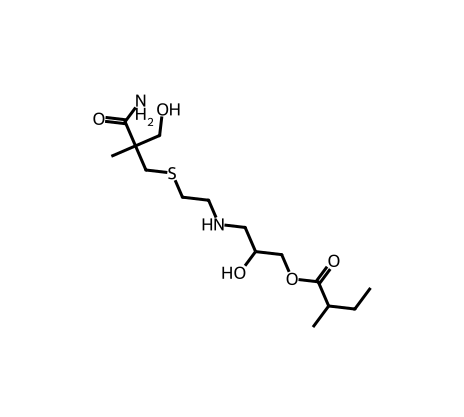 CCC(C)C(=O)OCC(O)CNCCSCC(C)(CO)C(N)=O